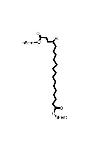 CCCCCOC(=O)CCCCCCCCCCCCCCC(CC)CCC(=O)OCCCCC